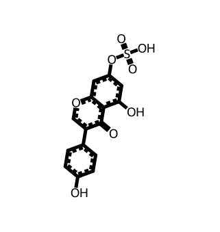 O=c1c(-c2ccc(O)cc2)coc2cc(OS(=O)(=O)O)cc(O)c12